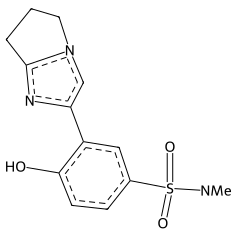 CNS(=O)(=O)c1ccc(O)c(-c2cn3c(n2)CCC3)c1